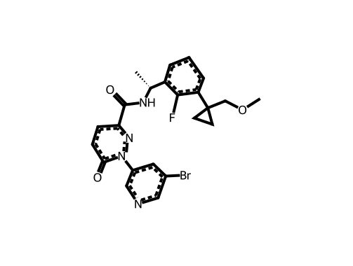 COCC1(c2cccc([C@@H](C)NC(=O)c3ccc(=O)n(-c4cncc(Br)c4)n3)c2F)CC1